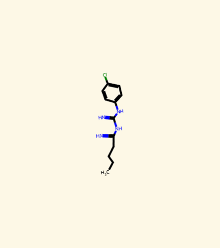 CCCCC(=N)NC(=N)Nc1ccc(Cl)cc1